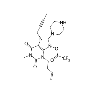 C=CCCn1c2c(c(=O)n(C)c1=O)N(CC#CC)C(N1CCNCC1)N2OC(=O)C(F)(F)F